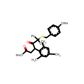 COC(=O)CC(C(=O)C(C)(SCc1ccc(OC)cc1)C(C)C)c1c(C)cc(C)cc1C